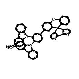 N#Cc1ccc2c(c1)c1ccccc1n2-c1ccc(-c2ccc3c(c2)C2(c4ccccc4O3)c3cccnc3-c3ncccc32)cc1-n1c2ccccc2c2cc(C#N)ccc21